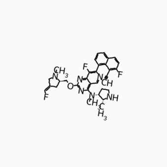 C#Cc1c(F)ccc2cccc(-c3ncc4c(N(C)[C@@H]5CCN[C@@H]5C)nc(OC[C@H]5C/C(=C\F)CN5C)nc4c3F)c12